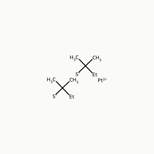 CCC(C)(C)[S-].CCC(C)(C)[S-].[Pt+2]